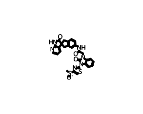 C[S+]([O-])c1csc(-n2c(=O)n(CC(=O)Nc3ccc4c(c3)CC3(C4)C(=O)Nc4ncccc43)c3ccccc32)n1